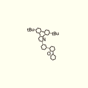 CC(C)(C)c1ccc2c(c1)c1ccc(-c3cccc(-c4cccc5c4oc4ccccc45)c3)nc1c1cc(C(C)(C)C)ccc21